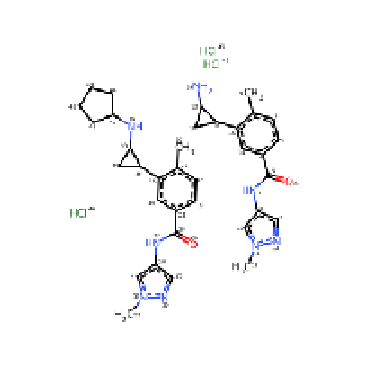 Cc1ccc(C(=O)Nc2cnn(C)c2)cc1C1CC1N.Cc1ccc(C(=O)Nc2cnn(C)c2)cc1C1CC1NC1CCCC1.Cl.Cl.Cl